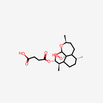 C[C@@H]1CCC2[C@@H](C)[C@H](OC(=O)CCC(=O)O)OC3O[C@@H](C)CCC1[C@]32OO